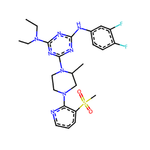 CCN(CC)c1nc(Nc2ccc(F)c(F)c2)nc(N2CCN(c3ncccc3S(C)(=O)=O)CC2C)n1